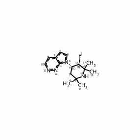 CC1(C)C[C@H](n2ccc3ccnnc32)[C@@H](F)C(C)(C)N1